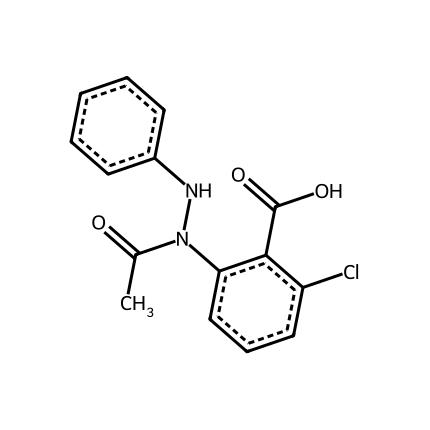 CC(=O)N(Nc1ccccc1)c1cccc(Cl)c1C(=O)O